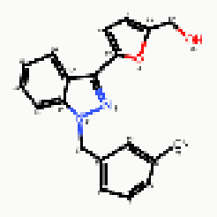 N#Cc1cccc(Cn2nc(-c3ccc(CO)o3)c3ccccc32)c1